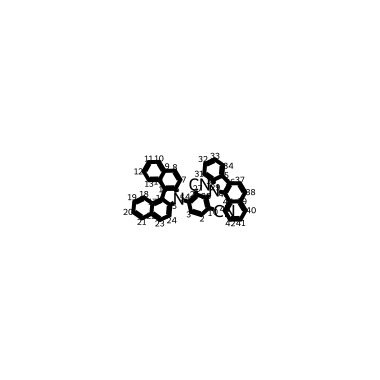 N#Cc1ccc(-n2c3ccc4ccccc4c3c3c4ccccc4ccc32)c(C#N)c1-n1c2ccccc2c2ccc3ccccc3c21